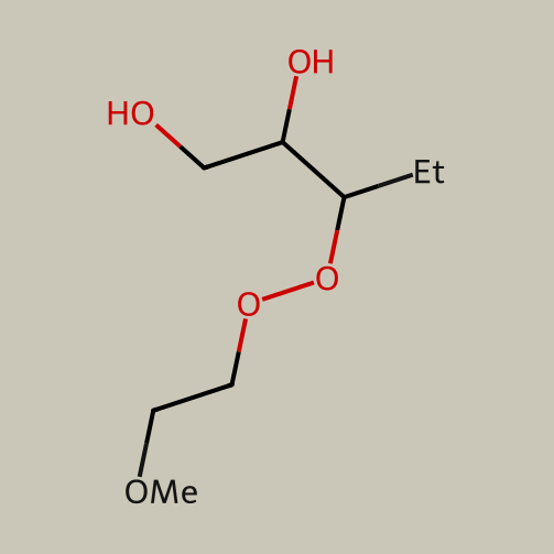 CCC(OOCCOC)C(O)CO